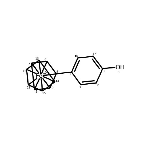 Oc1ccc([C]23[CH]4[CH]5[CH]6[CH]2[Fe]56432789[CH]3[CH]2[CH]7[CH]8[CH]39)cc1